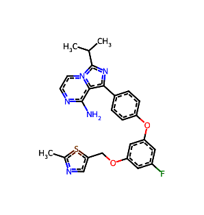 Cc1ncc(COc2cc(F)cc(Oc3ccc(-c4nc(C(C)C)n5ccnc(N)c45)cc3)c2)s1